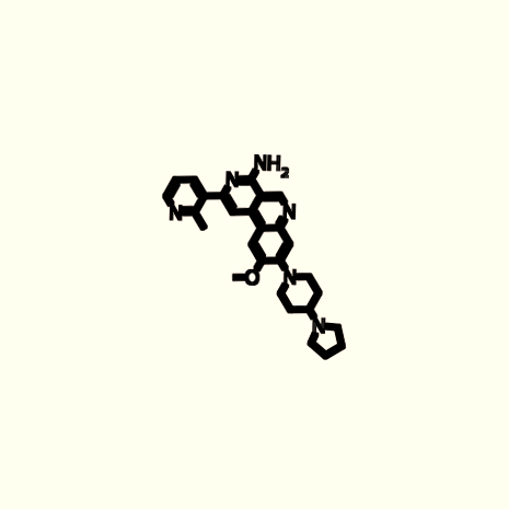 COc1cc2c(cc1N1CCC(N3CCCC3)CC1)ncc1c(N)nc(-c3cccnc3C)cc12